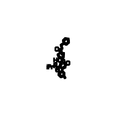 Cc1cccc(-c2cc(=O)n(CC3(O)CCN(C(=O)CCc4ccccc4)CC3)cc2C(=O)N(C)C(C)C)c1